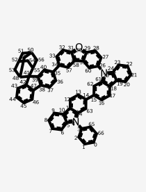 c1ccc(-n2c3ccccc3c3ccc(-c4ccc5c6ccccc6n(-c6ccc7oc8ccc(-c9ccc%10c(c9)C9(c%11ccccc%11-%10)C%10CC%11CC(C%10)CC9C%11)cc8c7c6)c5c4)cc32)cc1